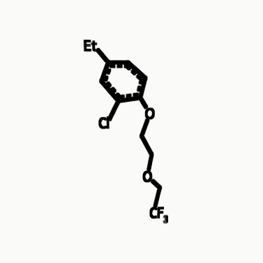 CCc1ccc(OCCOCC(F)(F)F)c(Cl)c1